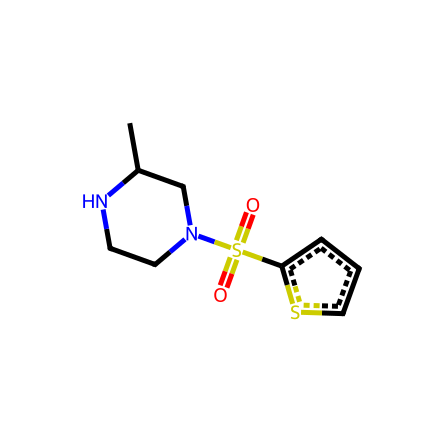 CC1CN(S(=O)(=O)c2cccs2)CCN1